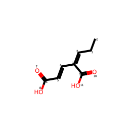 CCC=C(C=CC(=O)O)C(=O)O